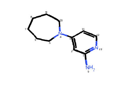 Nc1cc(N2CCCCCC2)ccn1